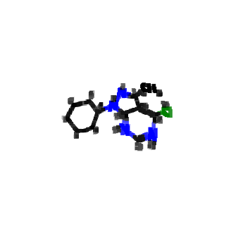 Cc1nn(C2CCCCC2)c2ncnc(Cl)c12